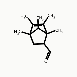 CC1=C(C)C2(C)C(C=O)CC1(C)C2C